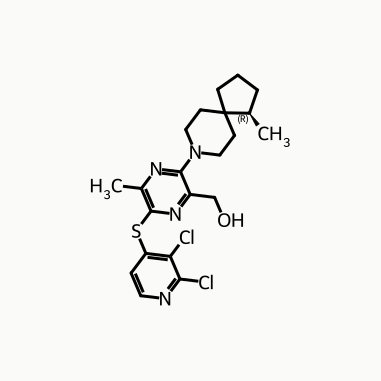 Cc1nc(N2CCC3(CCC[C@H]3C)CC2)c(CO)nc1Sc1ccnc(Cl)c1Cl